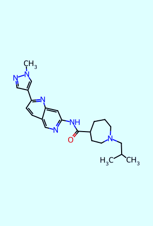 CC(C)CN1CCCC(C(=O)Nc2cc3nc(-c4cnn(C)c4)ccc3cn2)CC1